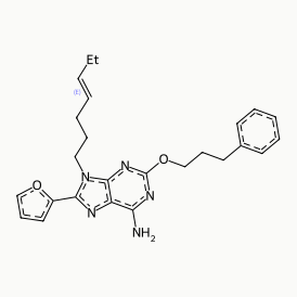 CC/C=C/CCCn1c(-c2ccco2)nc2c(N)nc(OCCCc3ccccc3)nc21